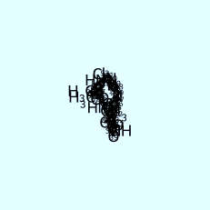 CNC(=O)COc1cc2cc(Nc3nc(N4CCC(CN5CC6(CCN(c7ccc8c(c7F)CN(C7CCC(=O)NC7=O)C8=O)CC6)C5)CC4)ncc3Cl)ccc2n(C(C)C)c1=O